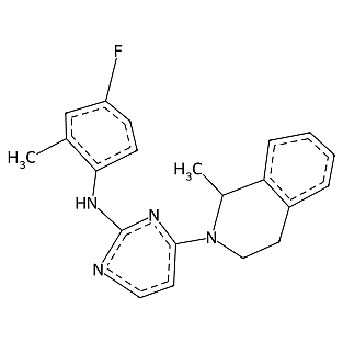 Cc1cc(F)ccc1Nc1nccc(N2CCc3ccccc3C2C)n1